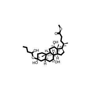 CCCC(O)O[C@@]1(O)CC[C@@]2(C)[C@H](C[C@@H](O)[C@@H]3[C@@H]2C[C@H](O)[C@]2(C)[C@@H]([C@H](C)CCC(=O)OC)CC[C@@H]32)C1